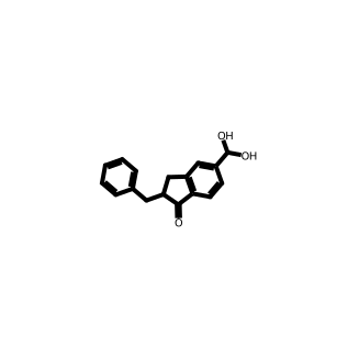 O=C1c2ccc(C(O)O)cc2CC1Cc1ccccc1